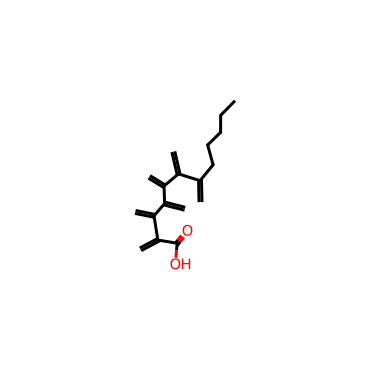 C=C(CCCCC)C(=C)C(=C)C(=C)C(=C)C(=C)C(=O)O